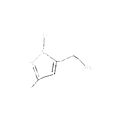 CCn1nc(C)cc1CC(C)C